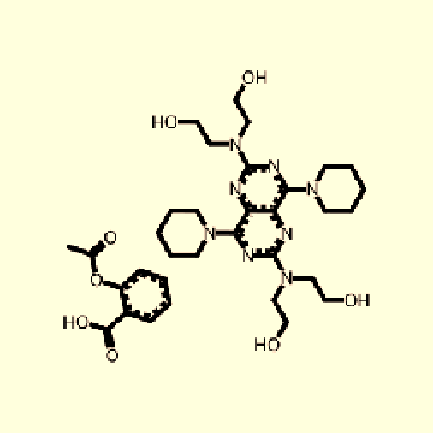 CC(=O)Oc1ccccc1C(=O)O.OCCN(CCO)c1nc(N2CCCCC2)c2nc(N(CCO)CCO)nc(N3CCCCC3)c2n1